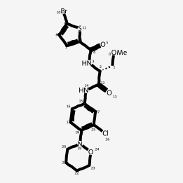 COC[C@@H](NC(=O)c1ccc(Br)s1)C(=O)Nc1ccc(N2CCCCO2)c(Cl)c1